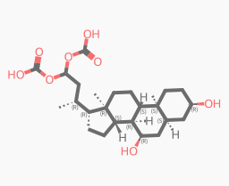 C[C@H](CC(OC(=O)O)OC(=O)O)[C@H]1CC[C@H]2[C@@H]3[C@H](O)C[C@@H]4C[C@H](O)CC[C@]4(C)[C@H]3CC[C@]12C